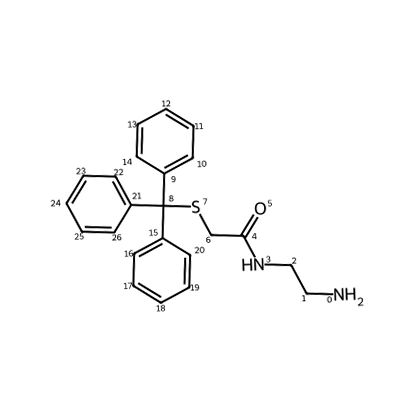 NCCNC(=O)CSC(c1ccccc1)(c1ccccc1)c1ccccc1